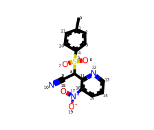 Cc1ccc(S(=O)(=O)C(C#N)c2ncccc2[N+](=O)[O-])cc1